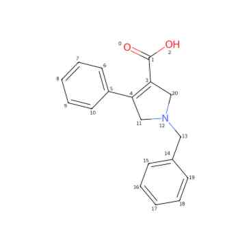 O=C(O)C1=C(c2ccccc2)CN(Cc2ccccc2)C1